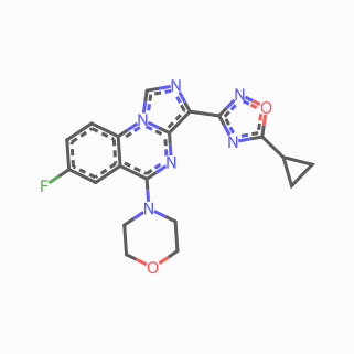 Fc1ccc2c(c1)c(N1CCOCC1)nc1c(-c3noc(C4CC4)n3)ncn12